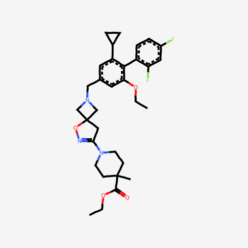 CCOC(=O)C1(C)CCN(C2=NOC3(C2)CN(Cc2cc(OCC)c(-c4ccc(F)cc4F)c(C4CC4)c2)C3)CC1